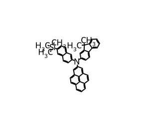 CC1(C)c2ccccc2-c2ccc(N(c3ccc4cc([Si](C)(C)C)ccc4c3)c3cc4ccc5cccc6ccc(c3)c4c56)cc21